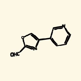 O=Cc1nc(-c2cccnc2)co1